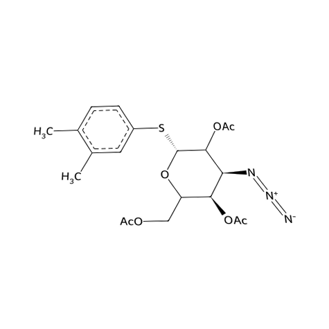 CC(=O)OCC1O[C@H](Sc2ccc(C)c(C)c2)C(OC(C)=O)[C@@H](N=[N+]=[N-])[C@H]1OC(C)=O